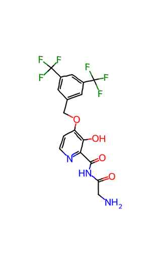 NCC(=O)NC(=O)c1nccc(OCc2cc(C(F)(F)F)cc(C(F)(F)F)c2)c1O